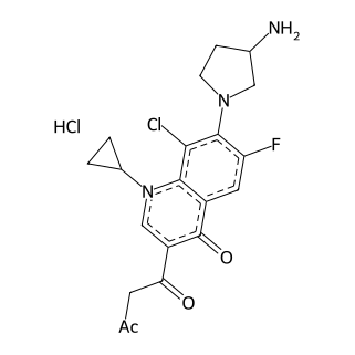 CC(=O)CC(=O)c1cn(C2CC2)c2c(Cl)c(N3CCC(N)C3)c(F)cc2c1=O.Cl